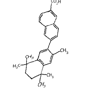 Cc1cc2c(cc1-c1ccc3cc(C(=O)O)ccc3c1)C(C)(C)CCC2(C)C